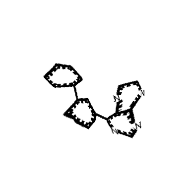 c1ccc(-c2cccc(-c3ncnc4nccnc34)c2)cc1